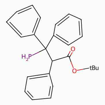 CC(C)(C)OC(=O)C(c1ccccc1)C(P)(c1ccccc1)c1ccccc1